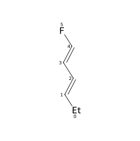 CC/C=C/C=C/F